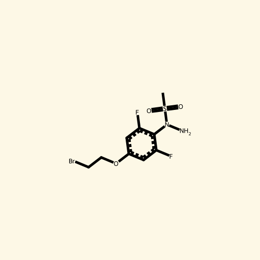 CS(=O)(=O)N(N)c1c(F)cc(OCCBr)cc1F